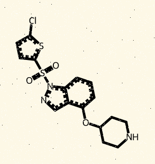 O=S(=O)(c1ccc(Cl)s1)n1ncc2c(OC3CCNCC3)cccc21